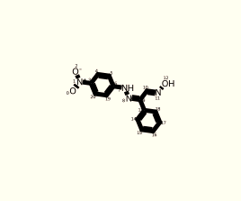 O=[N+]([O-])c1ccc(NN=C(C=NO)c2ccccc2)cc1